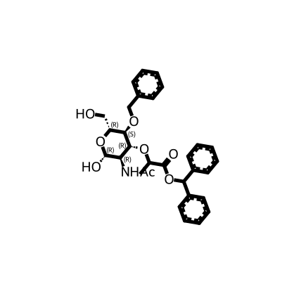 CC(=O)N[C@@H]1[C@@H](OC(C)C(=O)OC(c2ccccc2)c2ccccc2)[C@H](OCc2ccccc2)[C@@H](CO)O[C@H]1O